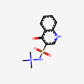 C[N+](C)(C)NS(=O)(=O)c1c[nH]c2ccccc2c1=O